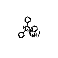 CCO.c1ccc(-c2c[nH]c(-c3ccccc3)n2)cc1.c1ccc2ncccc2c1